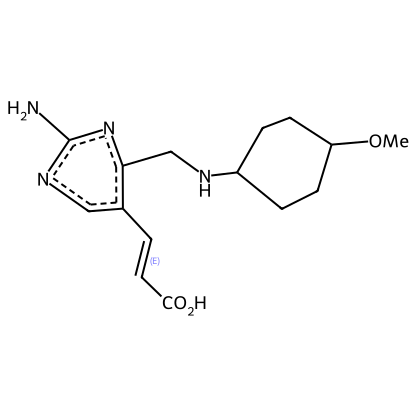 COC1CCC(NCc2nc(N)ncc2/C=C/C(=O)O)CC1